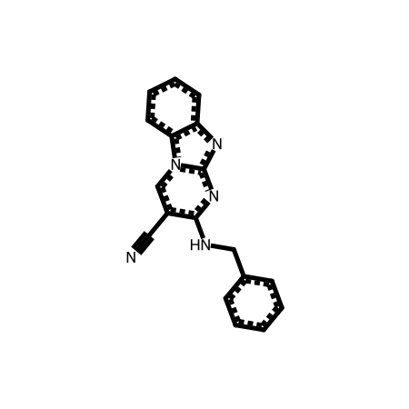 N#Cc1cn2c(nc1NCc1ccccc1)nc1ccccc12